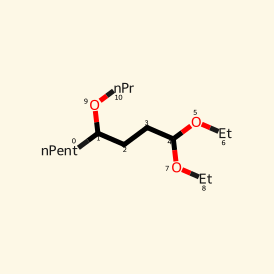 CCCCCC(CCC(OCC)OCC)OCCC